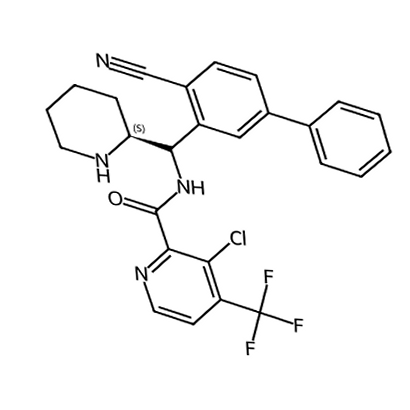 N#Cc1ccc(-c2ccccc2)cc1C(NC(=O)c1nccc(C(F)(F)F)c1Cl)[C@@H]1CCCCN1